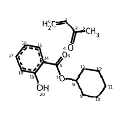 C=CC(C)=O.O=C(OC1CCCCC1)c1ccccc1O